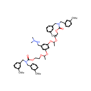 COc1cccc(CN(Cc2cccc(OC)c2)C(=O)OCCOC(C)Oc2cc(CNN(C)C)cc(OC(C)OCCOC(=O)N(Cc3cccc(OC)c3)Cc3cccc(OC)c3)c2)c1